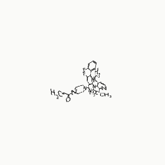 C=CC(=O)N1CCN(c2nc(=O)n(-c3c(C)ccnc3C(C)C)c3nc(-c4ccccc4F)c(F)cc23)CC1